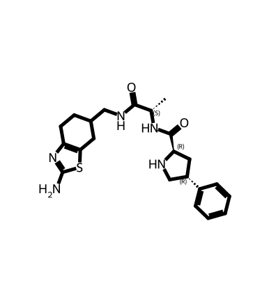 C[C@H](NC(=O)[C@H]1C[C@H](c2ccccc2)CN1)C(=O)NCC1CCc2nc(N)sc2C1